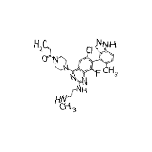 C=CC(=O)N1CCN(c2nc(NCCNC)nc3c(F)c(-c4c(C)ccc5[nH]ncc45)c(Cl)cc23)CC1